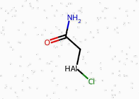 NC(=O)[CH2][AlH][Cl]